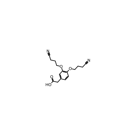 N#CCCCOc1ccc(CC(=O)O)cc1OCCCC#N